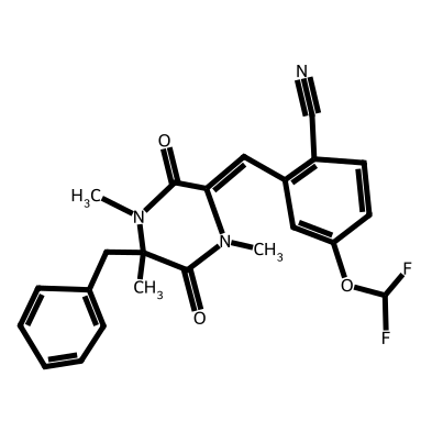 CN1C(=O)C(C)(Cc2ccccc2)N(C)C(=O)C1=Cc1cc(OC(F)F)ccc1C#N